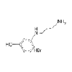 Br.NCCCNc1cccc(O)c1